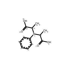 CC(C(=O)O)N(c1ccccc1)C(C)C(=O)O